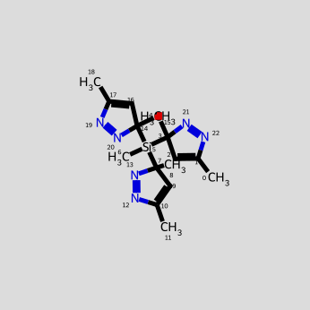 CC1=CC(C)([Si](C)(C2(C)C=C(C)N=N2)C2(C)C=C(C)N=N2)N=N1